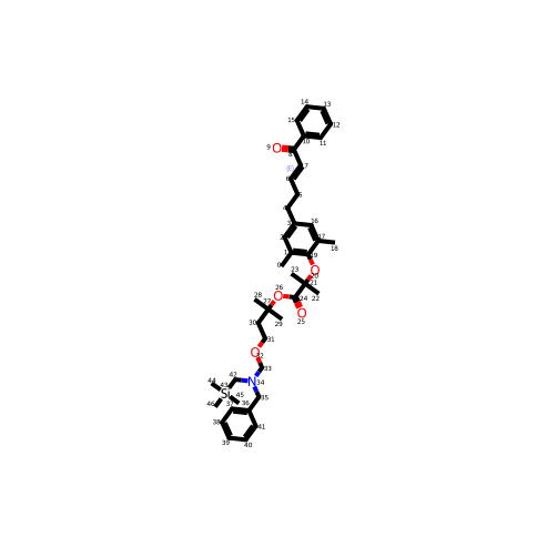 Cc1cc(CC/C=C/C(=O)c2ccccc2)cc(C)c1OC(C)(C)C(=O)OC(C)(C)CCOCN(Cc1ccccc1)C[Si](C)(C)C